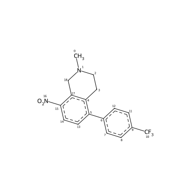 CN1CCc2c(-c3ccc(C(F)(F)F)cc3)ccc([N+](=O)[O-])c2C1